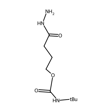 CC(C)(C)NC(=O)OCCCC(=O)NN